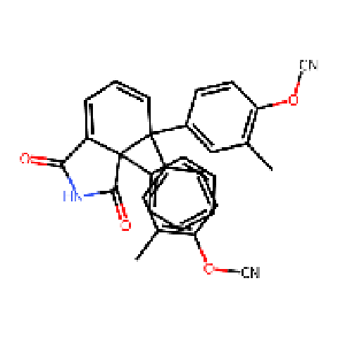 Cc1cc(C2(c3ccc(OC#N)c(C)c3)C=CC=C3C(=O)NC(=O)C32c2ccccc2)ccc1OC#N